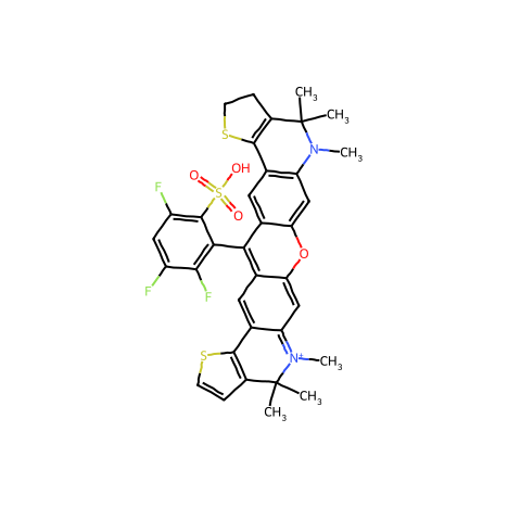 CN1c2cc3c(cc2C2=C(CCS2)C1(C)C)C(c1c(F)c(F)cc(F)c1S(=O)(=O)O)=c1cc2c(cc1O3)=[N+](C)C(C)(C)c1ccsc1-2